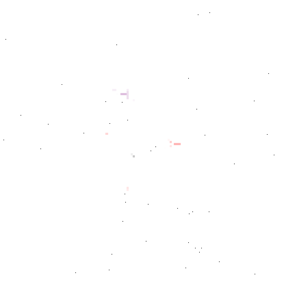 O=[Si](O)OP